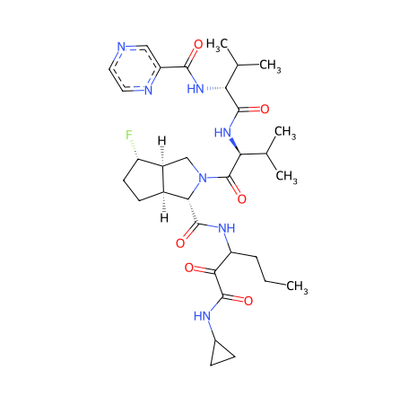 CCCC(NC(=O)[C@@H]1[C@H]2CC[C@H](F)[C@H]2CN1C(=O)[C@@H](NC(=O)[C@H](NC(=O)c1cnccn1)C(C)C)C(C)C)C(=O)C(=O)NC1CC1